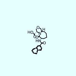 O=C(N[C@H]1CCCC[C@H]2COC[C@@H](C(=O)O)N2C1=O)c1ccc2ccccc2c1